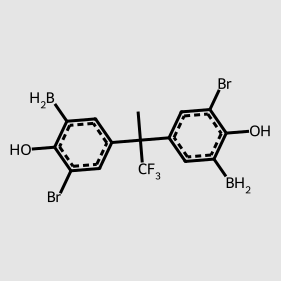 Bc1cc(C(C)(c2cc(B)c(O)c(Br)c2)C(F)(F)F)cc(Br)c1O